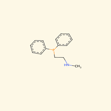 CNCCP(c1ccccc1)c1ccccc1